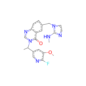 CNc1nccn1Cc1ccc2ncn(C(C)c3cnc(F)c(OC)c3)c(=O)c2c1